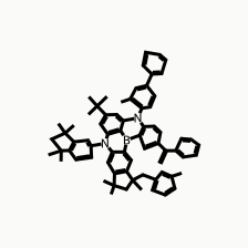 C=C(c1ccccc1)c1ccc2c(c1)B1c3cc4c(cc3N(c3ccc5c(c3)C(C)(C)CC5(C)C)c3cc(C(C)(C)C)cc(c31)N2c1ccc(-c2ccccc2)cc1C)C(C)(C)CC4(C)Cc1cccc(C)c1